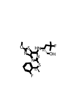 COc1nc2nc(S[C@@H](C)c3ccccc3F)nc(N[C@@H](CO)CC(C)(C)F)c2s1